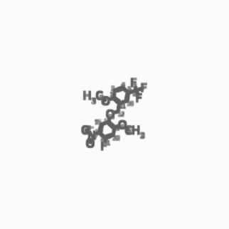 COc1ccc(C(F)(F)F)cc1COc1cc([N+](=O)[O-])c(F)cc1OC